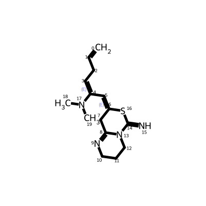 C=CC/C=C(\C=C1/CC2=NCCCN2C(=N)S1)N(C)C